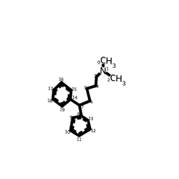 CN(C)CCCCC(c1ccccc1)c1ccccc1